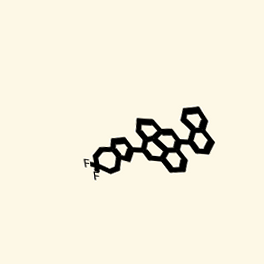 FC1(F)CCc2ccc(-c3cc4cccc5c(-c6cccc7ccccc67)cc6cccc3c6c45)cc2CC1